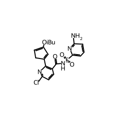 CC(C)COC1=CCC(c2nc(Cl)ccc2C(=O)NS(=O)(=O)c2cccc(N)n2)=C1